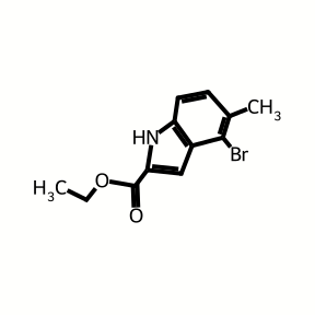 CCOC(=O)c1cc2c(Br)c(C)ccc2[nH]1